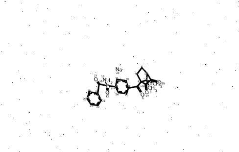 CC1(C)C2CCC1(C(=O)c1ccc(P(N)(=O)C(=O)c3ccccc3)cc1)C(=O)C2=O.[Na]